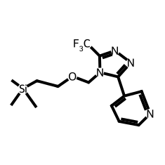 C[Si](C)(C)CCOCn1c(-c2cccnc2)nnc1C(F)(F)F